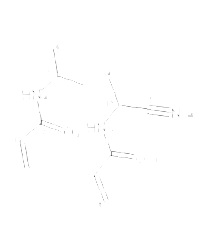 C=CC(=O)NC(C)C.C=CC(=O)NC(C)C#N